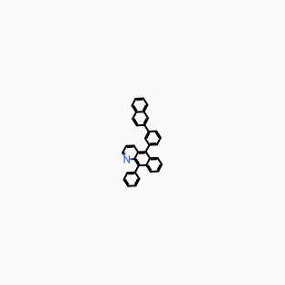 c1ccc(-c2c3ccccc3c(-c3cccc(-c4ccc5ccccc5c4)c3)c3cccnc23)cc1